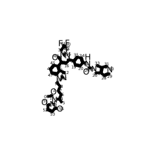 CC(=O)N(C(C)CCCCn1ncc2c(-c3cc(-c4ccc(NC(=O)N5Cc6ccncc6C5)cc4)nn(CC(F)(F)F)c3=O)cccc21)N1C(=O)C=CC1=O